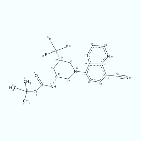 CC(C)(C)OC(=O)N[C@@H]1C[C@H](C(F)(F)F)CN(c2ccc(C#N)c3ncccc23)C1